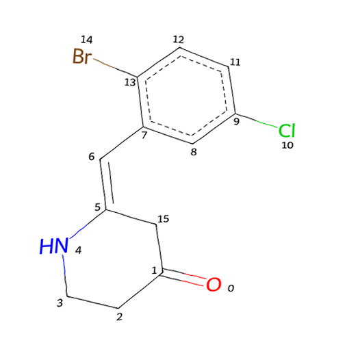 O=C1CCNC(=Cc2cc(Cl)ccc2Br)C1